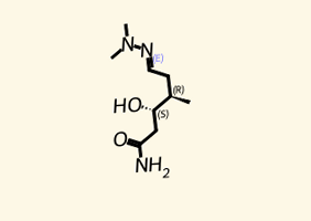 C[C@H](C/C=N/N(C)C)[C@@H](O)CC(N)=O